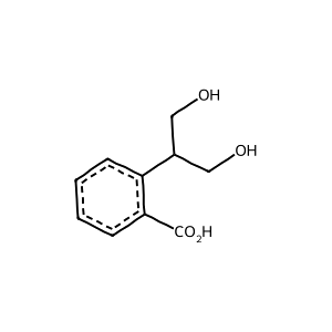 O=C(O)c1ccccc1C(CO)CO